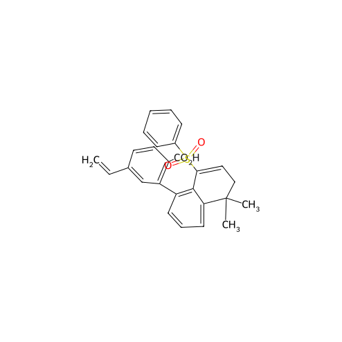 C=Cc1ccc(C(=O)O)c(-c2cccc3c2C(S(=O)(=O)c2ccccc2)=CCC3(C)C)c1